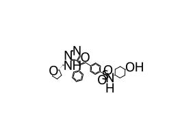 O=S(=O)(N[C@H]1CC[C@H](O)CC1)c1ccc(-c2oc3ncnc(NC[C@@H]4CCCO4)c3c2-c2ccccc2)cc1